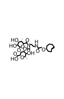 C[C@@H]1OC(C(=O)O)[C@@H](O[C@@H]2OC(C(=O)NCCNC(=O)CO[C@H]3CC/C=C/CCC3)[C@@H](C)[C@@H](O)C2O)[C@@H](O)C1O